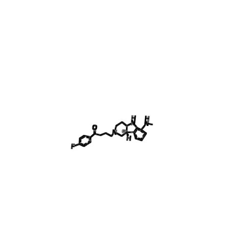 CNc1cccc2c1NC1CCN(CCCC(=O)c3ccc(F)cc3)C[C@@H]21